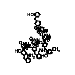 Cc1ccc(O)c(Cc2ccc(N3CC(=O)NS3(=O)=O)c(O)c2)c1.NCc1ccccc1Cc1ccc(N2CC(=O)NS2(=O)=O)c(O)c1.Nc1ccccc1Cc1ccc(N2CC(=O)NS2(=O)=O)c(O)c1.O=C1CN(c2ccc(Cc3ccccc3O)cc2O)S(=O)(=O)N1